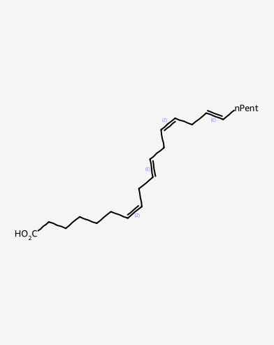 CCCCC/C=C/C/C=C\C/C=C/C/C=C\CCCCCC(=O)O